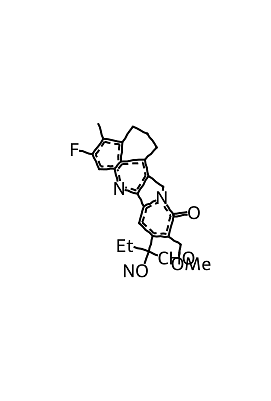 CCC(C=O)(N=O)c1cc2n(c(=O)c1COC)Cc1c-2nc2cc(F)c(C)c3c2c1CCC3